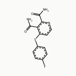 NC(=O)c1nccc(Sc2ccc(F)cc2)c1C(N)=O